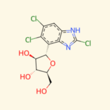 OC[C@@H]1O[C@@H](c2c(Cl)c(Cl)cc3[nH]c(Cl)nc23)[C@H](O)[C@H]1O